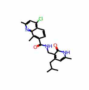 Cc1cc(Cl)c2ccc(C(=O)NCc3c(CC(C)C)cc(C)[nH]c3=O)c(C)c2n1